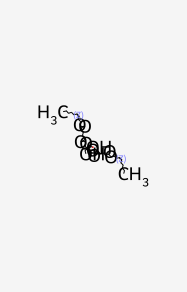 CCCCC/C=C\CCOC(=O)CCCCC(=O)OCC(CO)(CO)COC(=O)CCCCC(=O)OCC/C=C\CCCCC